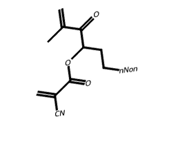 C=C(C)C(=O)C(CCCCCCCCCCC)OC(=O)C(=C)C#N